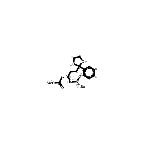 COC(=O)C[C@H](CCC1(c2ccccc2)OCCO1)N[S@@+]([O-])C(C)(C)C